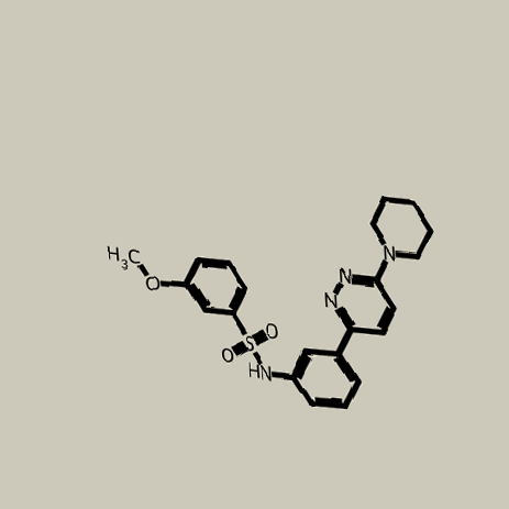 COc1cccc(S(=O)(=O)Nc2cccc(-c3ccc(N4CCCCC4)nn3)c2)c1